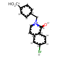 O=C(O)c1ccc(Cn2ccc3cc(Br)ccc3c2=O)cc1